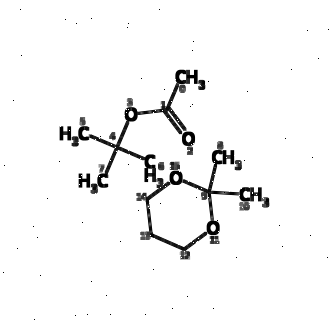 CC(=O)OC(C)(C)C.CC1(C)OCCCO1